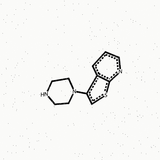 c1cnc2scc(N3CCNCC3)c2c1